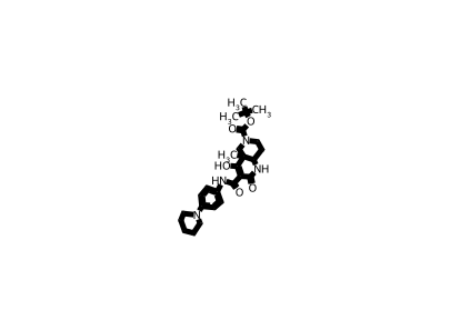 CC(C)(C)OC(=O)N1CCC2NC(=O)C(C(=O)Nc3ccc(N4CCCCC4)cc3)=C(O)C2(C)C1